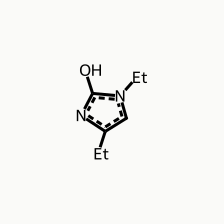 CCc1cn(CC)c(O)n1